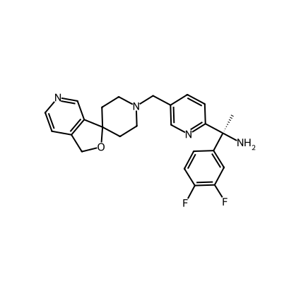 C[C@](N)(c1ccc(F)c(F)c1)c1ccc(CN2CCC3(CC2)OCc2ccncc23)cn1